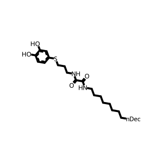 CCCCCCCCCCCCCCCCCCNC(=O)C(=O)NCCCSc1ccc(O)c(O)c1